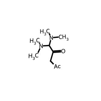 CC(=O)CC(=O)C(N(C)C)N(C)C